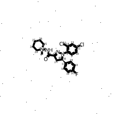 C[N+]1(NC(=O)C2=NN(c3ccc(Cl)cc3Cl)[C@@H](c3ccc(F)cc3)C2)CCCCC1